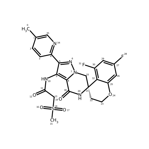 Cc1ccc(-c2nn3c(c2NC(=O)CS(C)(=O)=O)C(=O)N[C@@]2(CCOc4cc(F)cc(F)c42)C3)nc1